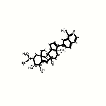 CN(C)[C@H]1C[C@@]23CC[C@]4(O2)C2CC=C(c5ccc6ccnc(N)c6c5)[C@@]2(C)CCC4(Cl)C=C3[C@@H](O)[C@@H]1O